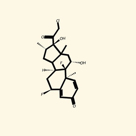 C[C@H]1CC2[C@@H]3C[C@H](F)C4=CC(=O)C=C[C@]4(C)[C@@]3(F)[C@@H](O)CC2(C)[C@@]1(O)C(=O)CCl